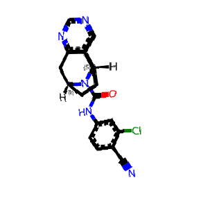 N#Cc1ccc(NC(=O)N2[C@@H]3CC[C@H]2c2cncnc2C3)cc1Cl